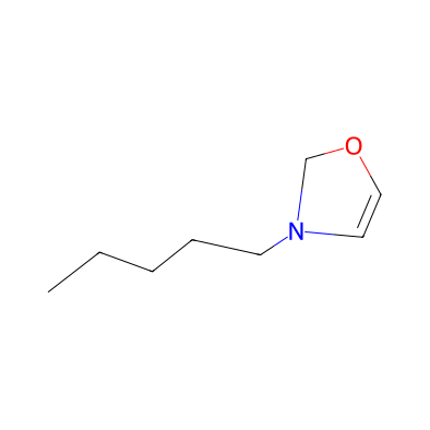 CCCCCN1C=COC1